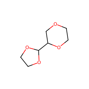 C1COC(C2OCCO2)CO1